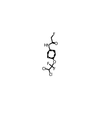 O=C(CF)Nc1ccc(OC(F)(F)C(Cl)Cl)cc1